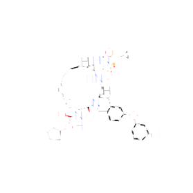 O=C(N[C@H]1CCCCC/C=C\[C@@H]2C[C@@]2(C(=O)NS(=O)(=O)C2CC2)NC[C@@H]2Cc3cc(Oc4cccc(Cl)c4)ccc3CN2C1=O)OC1CCCC1